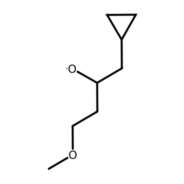 COCCC([O])CC1CC1